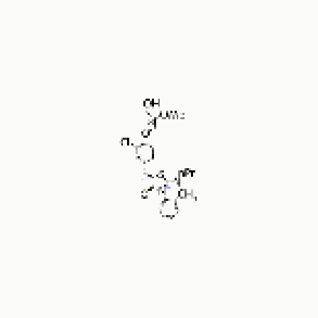 CCC/N=C1\S/C(=C\c2ccc(OC[C@@H](CO)OC)c(Cl)c2)C(=O)N1c1ccccc1C